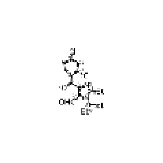 CCc1nc(C(=O)c2ccc(Cl)cc2Cl)c(C=O)n1C(CC)CC